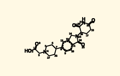 O=C(O)CN1CCC(c2ccc3c(c2)CN(C2CCC(=O)NC2=O)C3=O)CC1